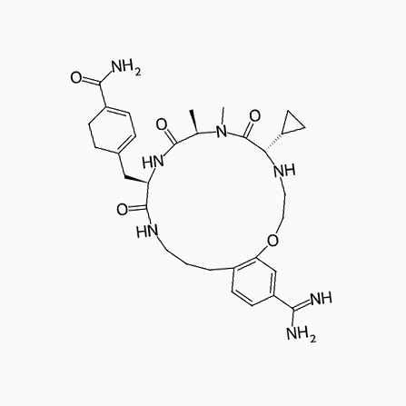 C[C@@H]1C(=O)N[C@H](CC2=CC=C(C(N)=O)CC2)C(=O)NCCCc2ccc(C(=N)N)cc2OCCN[C@@H](C2CC2)C(=O)N1C